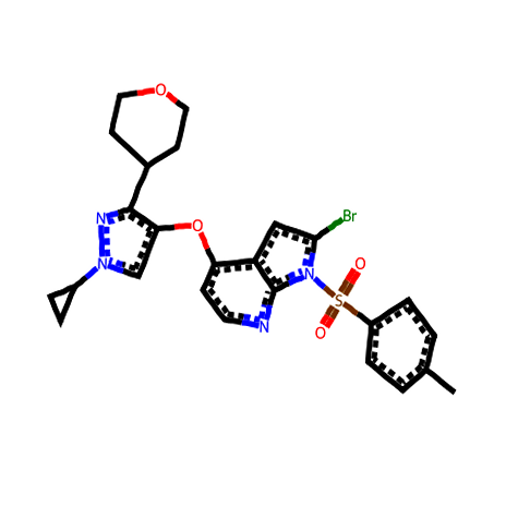 Cc1ccc(S(=O)(=O)n2c(Br)cc3c(Oc4cn(C5CC5)nc4C4CCOCC4)ccnc32)cc1